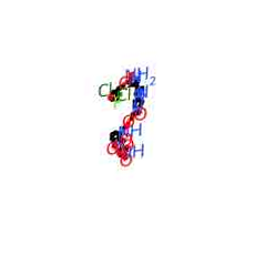 Nc1ncc(-c2cnn(C3CCN(C(=O)CCOCCNc4cccc5c4C(=O)N([C@@H]4CCC(=O)NC4=O)C5=O)CC3)c2)cc1OCCc1c(Cl)ccc(F)c1Cl